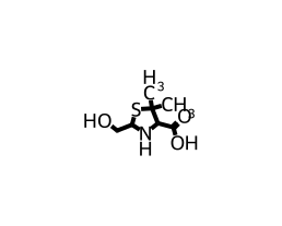 CC1(C)SC(CO)NC1C(=O)O